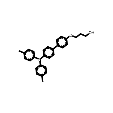 Cc1ccc(N(c2ccc(C)cc2)c2ccc(-c3ccc(OCCCO)cc3)cc2)cc1